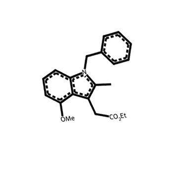 CCOC(=O)Cc1c(C)n(Cc2ccccc2)c2cccc(OC)c12